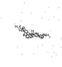 C=CC(=O)Nc1cccc(-c2c(F)ccc3cnc(Nc4ccc(N5CCO[C@H](CN)C5)nc4)nc23)c1